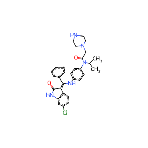 CC(C)N(C(=O)CN1CCNCC1)c1ccc(NC(=C2C(=O)Nc3cc(Cl)ccc32)c2ccccc2)cc1